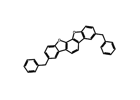 c1ccc(Cc2ccc3oc4c(ccc5c6cc(Cc7ccccc7)ccc6oc54)c3c2)cc1